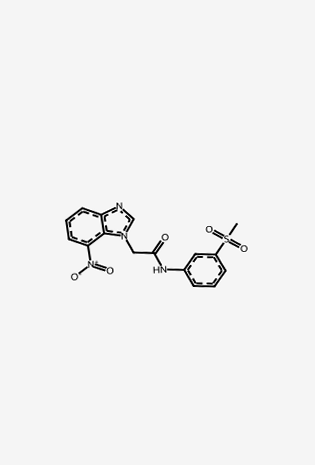 CS(=O)(=O)c1cccc(NC(=O)Cn2cnc3cccc([N+](=O)[O-])c32)c1